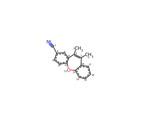 CC1=C(C)c2cc(C#N)ccc2Oc2ccccc21